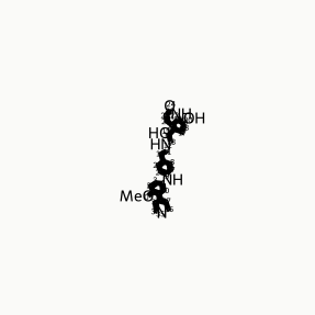 COc1ccc(Nc2ccc(CCNC[C@H](O)c3ccc(O)c4[nH]c(=O)ccc34)cc2)cc1-c1ccncc1